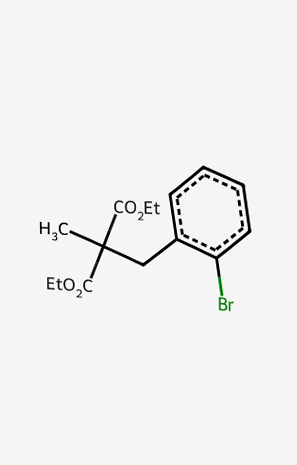 CCOC(=O)C(C)(Cc1ccccc1Br)C(=O)OCC